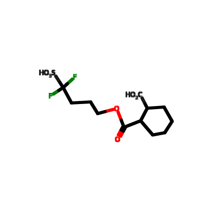 O=C(O)C1CCCCC1C(=O)OCCCC(F)(F)S(=O)(=O)O